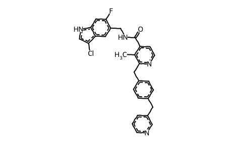 Cc1c(C(=O)NCc2cc3c(Cl)c[nH]c3cc2F)ccnc1Cc1ccc(Cc2cccnc2)cc1